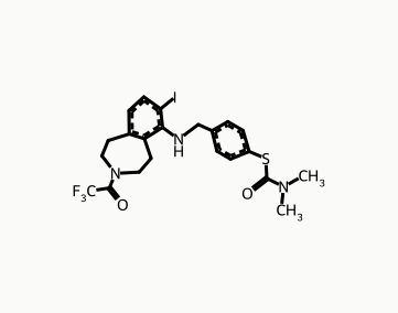 CN(C)C(=O)Sc1ccc(CNc2c(I)ccc3c2CCN(C(=O)C(F)(F)F)CC3)cc1